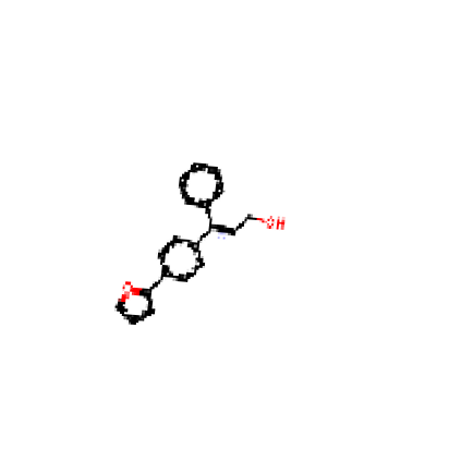 OC/C=C(\c1ccccc1)c1ccc(-c2ccco2)cc1